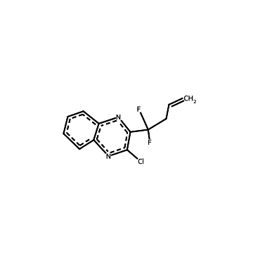 C=CCC(F)(F)c1nc2ccccc2nc1Cl